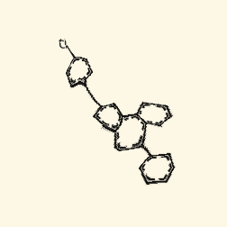 Clc1ccc(-c2ccc3cc(-c4ccccc4)c4ccccc4c3c2)cc1